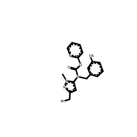 CC(C)Cc1cc(N(Cc2cccc(C#N)c2)C(=O)Oc2ccccn2)n(C)n1